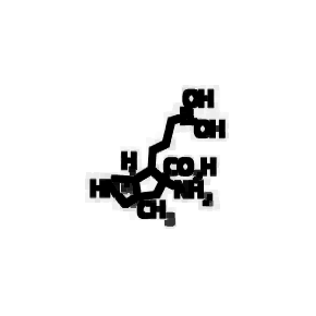 C[C@]12CNC[C@H]1C(CCCB(O)O)C(N)(C(=O)O)C2